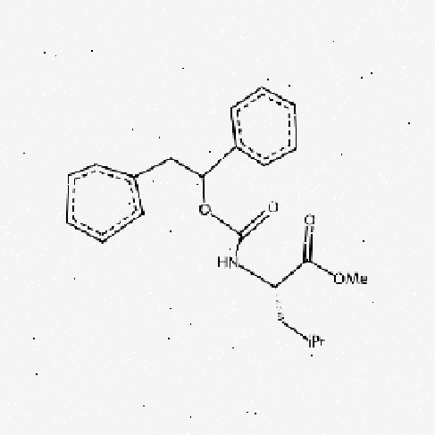 COC(=O)[C@H](CC(C)C)NC(=O)OC(Cc1ccccc1)c1ccccc1